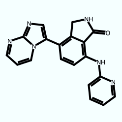 O=C1NCc2c(-c3cnc4ncccn34)ccc(Nc3ccccn3)c21